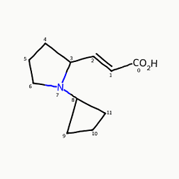 O=C(O)C=CC1CCCN1C1CCC1